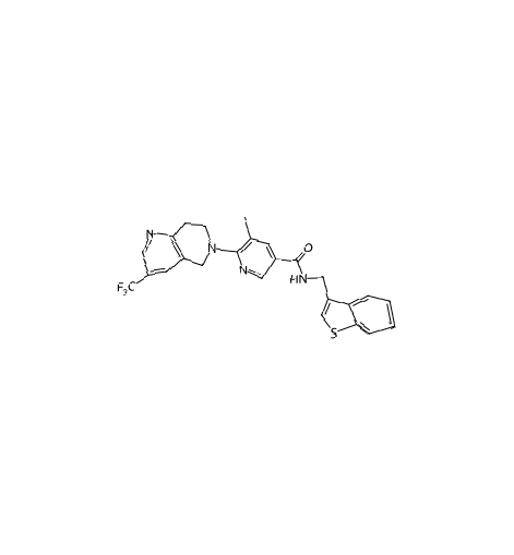 Cc1cc(C(=O)NCc2csc3ccccc23)cnc1N1CCc2ncc(C(F)(F)F)cc2C1